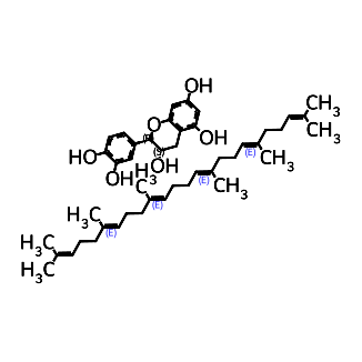 CC(C)=CCC/C(C)=C/CC/C(C)=C/CC/C=C(\C)CC/C=C(\C)CCC=C(C)C.Oc1cc(O)c2c(c1)O[C@H](c1ccc(O)c(O)c1)[C@@H](O)C2